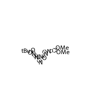 COc1cc2c(cc1OC)CN(c1cccc(C(=O)Nc3cnccc3N3CCN(C(=O)OC(C)(C)C)CC3)n1)C2